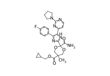 CC1(C(=O)OCC2CC2)COC(C(N)=O)(c2nc(-c3ccc(F)cc3)c(-c3ccnc(N4CCCC4)n3)[nH]2)OC1